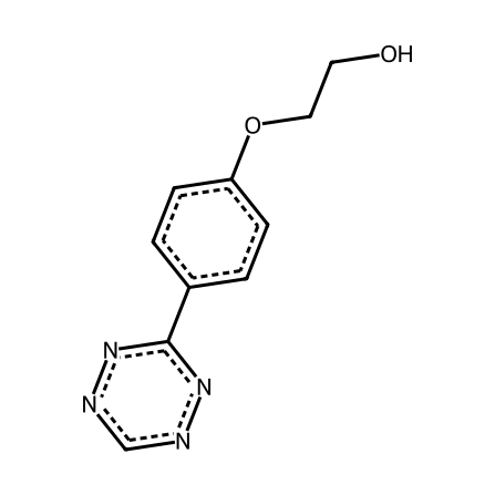 OCCOc1ccc(-c2nncnn2)cc1